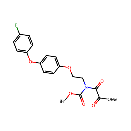 COC(=O)C(=O)N(CCOc1ccc(Oc2ccc(F)cc2)cc1)C(=O)OC(C)C